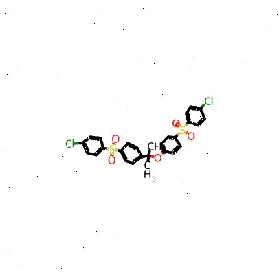 CC(C)(Oc1ccc(S(=O)(=O)c2ccc(Cl)cc2)cc1)c1ccc(S(=O)(=O)c2ccc(Cl)cc2)cc1